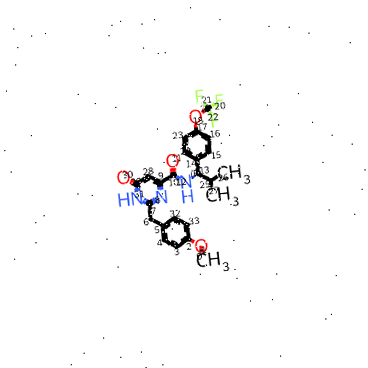 COc1ccc(Cc2nc(C(=O)N[C@@H](c3ccc(OC(F)(F)F)cc3)C(C)C)cc(=O)[nH]2)cc1